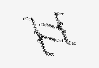 CCCCCCCC/C=C/CCCCCCCC(=O)OCC(COC(=O)CCCCCCC/C=C/CCCCCCCC)OC(=O)CCCCCCC/C=C/CCCCCCCC.CCCCCCCCCCCCCCCCCC(=O)OCC(COC(=O)CCCCCCCCCCCCCCCCC)OC(=O)CCCCCCCCCCCCCCCCC